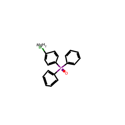 O=P(c1ccccc1)(c1ccccc1)c1ccc(Br)cc1.[MgH2]